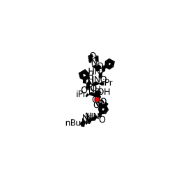 CCCCC(C)n1cc(CNC(=O)c2ccc(C)c(S(=O)(=O)OCC(C)(O)C(=O)[C@H](CC(C)C)NC(=O)[C@H](Cc3ccccc3)NC(=O)[C@H](CC(C)C)NC(=O)[C@H](CCc3ccccc3)NC(=O)CN3CCOCC3)c2)nn1